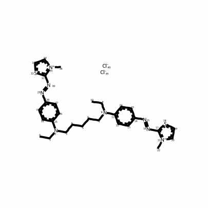 CCN(CCCCCN(CC)c1ccc(N=Nc2scc[n+]2C)cc1)c1ccc(N=Nc2scc[n+]2C)cc1.[Cl-].[Cl-]